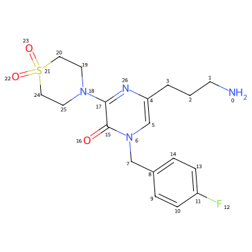 NCCCc1cn(Cc2ccc(F)cc2)c(=O)c(N2CCS(=O)(=O)CC2)n1